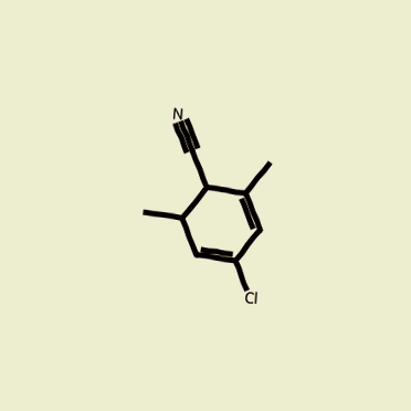 CC1=CC(Cl)=CC(C)C1C#N